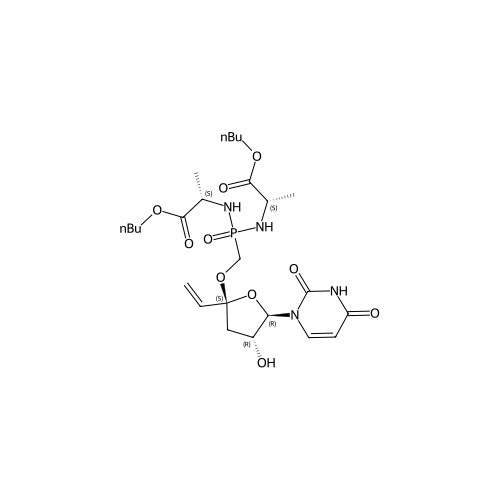 C=C[C@@]1(OCP(=O)(N[C@@H](C)C(=O)OCCCC)N[C@@H](C)C(=O)OCCCC)C[C@@H](O)[C@H](n2ccc(=O)[nH]c2=O)O1